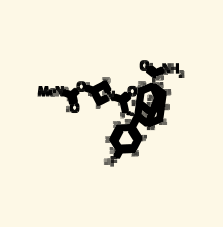 CNC(=O)OC1CN(C(=O)C[C@]2(c3ccc(F)cc3)C3CC4CC2C[C@](C(N)=O)(C4)C3)C1